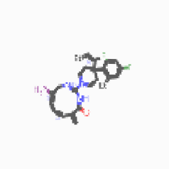 C=C1/C=C\C=C(\P)C/N=C(/N2CCC(/C(C)=C\CC)(c3c(F)cc(F)cc3CC)CC2)NC1=O